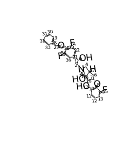 O[C@H](CN1C[C@@H]2C[C@@H](Oc3ccccc3F)[C@@H](O)[C@]2(O)C1)c1cc(F)c(OCc2ccccc2)c(F)c1